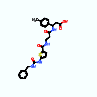 Cc1ccc(C(CC(=O)O)NC(=O)CCNC(=O)c2ccc(NC(=O)NCc3ccccc3)s2)cc1